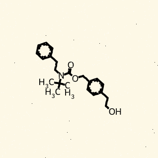 CC(C)(C)N(CCc1ccccc1)C(=O)OCc1ccc(CCO)cc1